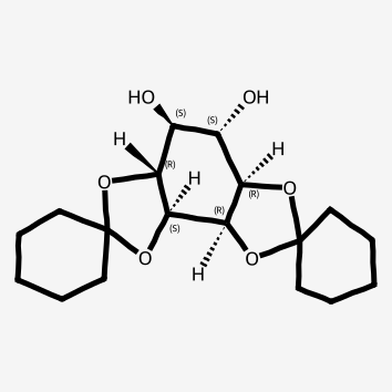 O[C@H]1[C@H](O)[C@H]2OC3(CCCCC3)O[C@H]2[C@H]2OC3(CCCCC3)O[C@H]12